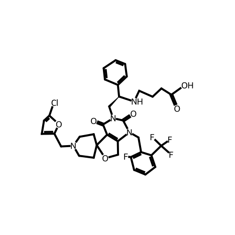 O=C(O)CCCN[C@@H](Cn1c(=O)c2c(n(Cc3c(F)cccc3C(F)(F)F)c1=O)COC21CCN(Cc2ccc(Cl)o2)CC1)c1ccccc1